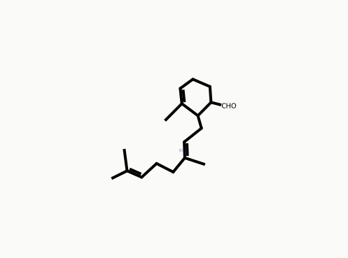 CC(C)=CCC/C(C)=C/CC1C(C)=CCCC1C=O